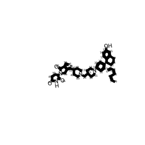 C=C(/C=C\C=C/C)[C@H]1CCc2cc(O)ccc2[C@H]1c1ccc(N2CCC(CN3CCC(c4scc5c4CN(C4CCC(=O)NC4=O)C5=O)CC3)CC2)cc1